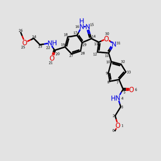 COCCNC(=O)c1ccc(-c2cc(-c3n[nH]c4cc(C(=O)NCCOC)ccc34)on2)cc1